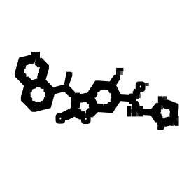 C[C@H](c1cccc2ccncc12)n1c(=O)oc2cc([S+]([O-])Nc3ncns3)c(F)cc21